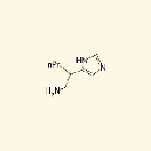 CCCC(CN)c1cnc[nH]1